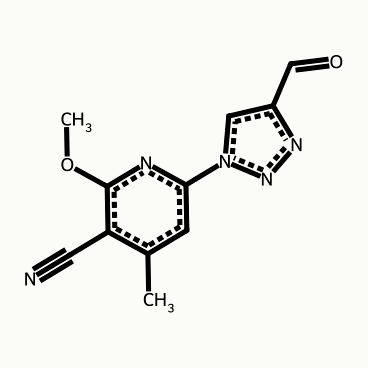 COc1nc(-n2cc(C=O)nn2)cc(C)c1C#N